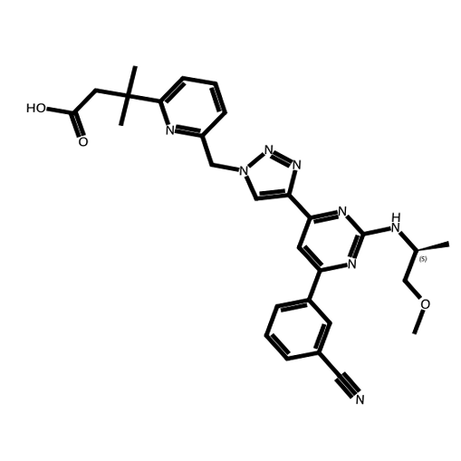 COC[C@H](C)Nc1nc(-c2cccc(C#N)c2)cc(-c2cn(Cc3cccc(C(C)(C)CC(=O)O)n3)nn2)n1